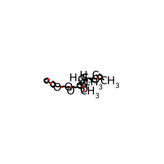 COc1cc(C=CC(=O)OCC=CCOc2ccc(-c3ccccc3)cc2)ccc1OC(=O)C(C)(C)CCCOc1cc(C)ccc1C